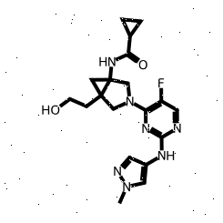 Cn1cc(Nc2ncc(F)c(N3CC4(CCO)CC4(NC(=O)C4CC4)C3)n2)cn1